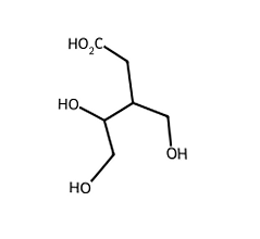 O=C(O)CC(CO)C(O)CO